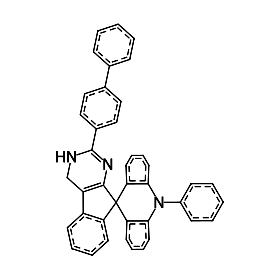 c1ccc(-c2ccc(C3=NC4=C(CN3)c3ccccc3C43c4ccccc4N(c4ccccc4)c4ccccc43)cc2)cc1